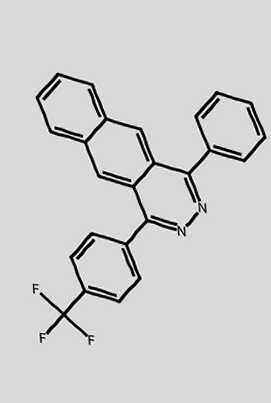 FC(F)(F)c1ccc(-c2nnc(-c3ccccc3)c3cc4ccccc4cc23)cc1